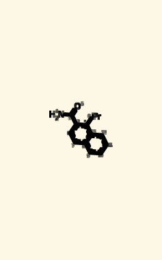 CC(C)c1c(C(N)=O)ccc2ccccc12